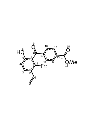 C=Cc1ccc(O)c(C(=O)c2ccc(C(=O)OC)cc2)c1F